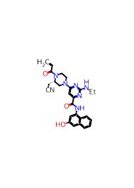 C=CC(=O)N1CCN(c2cc(C(=O)Nc3cc(O)cc4ccccc34)nc(NCC)n2)C[C@@H]1CC#N